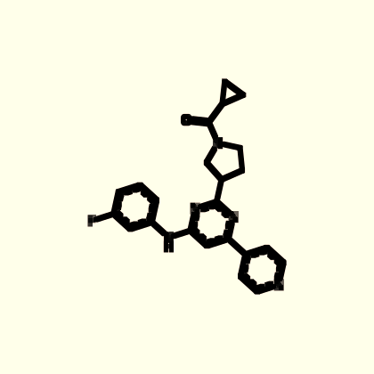 O=C(C1CC1)N1CCC(c2nc(Nc3cccc(F)c3)cc(-c3ccncc3)n2)C1